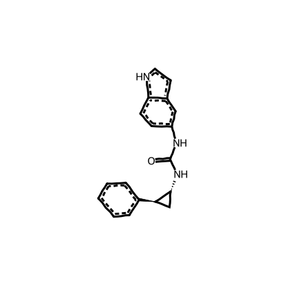 O=C(Nc1ccc2[nH]ccc2c1)N[C@@H]1C[C@H]1c1ccccc1